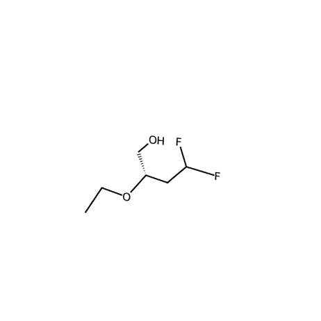 CCO[C@H](CO)CC(F)F